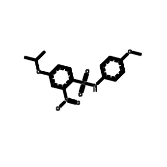 COc1ccc(NS(=O)(=O)c2ccc(OC(C)C)cc2[N+](=O)[O-])cc1